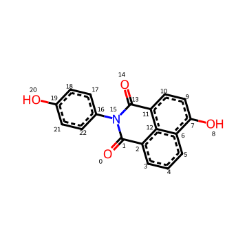 O=C1c2cccc3c(O)ccc(c23)C(=O)N1c1ccc(O)cc1